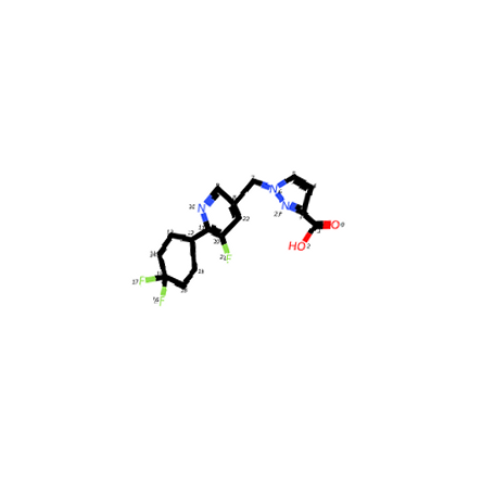 O=C(O)c1ccn(Cc2cnc(C3CCC(F)(F)CC3)c(F)c2)n1